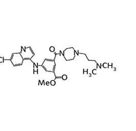 COC(=O)c1cc(Nc2ccnc3cc(Cl)ccc23)cc(C(=O)N2CCN(CCCN(C)C)CC2)c1